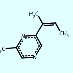 C/C=C(/C)c1cncc(C)n1